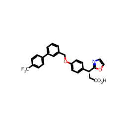 O=C(O)C[C@@H](c1ccc(OCc2cccc(-c3ccc(C(F)(F)F)cc3)c2)cc1)c1ncco1